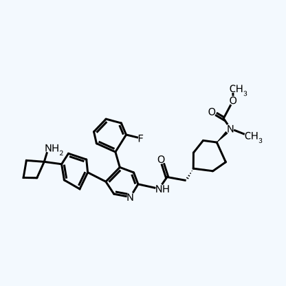 COC(=O)N(C)[C@H]1CC[C@H](CC(=O)Nc2cc(-c3ccccc3F)c(-c3ccc(C4(N)CCC4)cc3)cn2)CC1